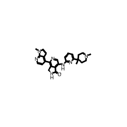 CN1CCC(C)(c2cccc(Nc3cnc(-c4ccnc5c4ccn5C)c4c3C(=O)NC4)n2)CC1